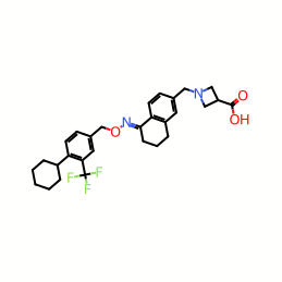 O=C(O)C1CN(Cc2ccc3c(c2)CCC/C3=N\OCc2ccc(C3CCCCC3)c(C(F)(F)F)c2)C1